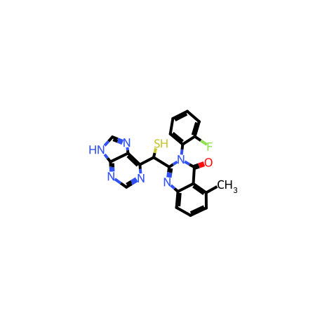 Cc1cccc2nc(C(S)c3ncnc4[nH]cnc34)n(-c3ccccc3F)c(=O)c12